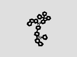 c1ccc(-n2c3cc(-c4ccc(N(c5ccc6c(c5)C(c5ccccc5)(c5ccccc5)c5ccccc5-6)c5ccc6ccc7ccccc7c6c5)cc4)ccc3c3ccc4ccccc4c32)cc1